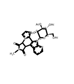 CC(=O)OC[C@H]1O[C@@H](n2c3c(c4cccnc42)C2C(=O)N(C)C(=O)C2n2ccnc2-3)[C@H](OC(C)=O)[C@@H](OC(C)=O)[C@@H]1OC(C)=O